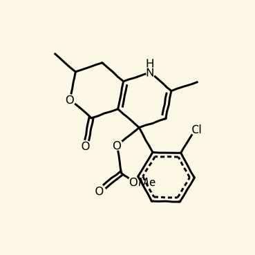 COC(=O)OC1(c2ccccc2Cl)C=C(C)NC2=C1C(=O)OC(C)C2